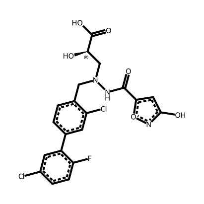 O=C(NN(Cc1ccc(-c2cc(Cl)ccc2F)cc1Cl)C[C@@H](O)C(=O)O)c1cc(O)no1